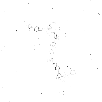 Cc1ncc(-c2ccc3nc(NC(=O)CN4CCN(c5ncc(-c6cn([C@H](C(=O)N7C[C@H](O)C[C@H]7C(=O)NCc7ccc(-c8scnc8C)cc7)C(C)C)nn6)cn5)CC4)sc3c2)cc1NC(=O)OC1CCCCC1